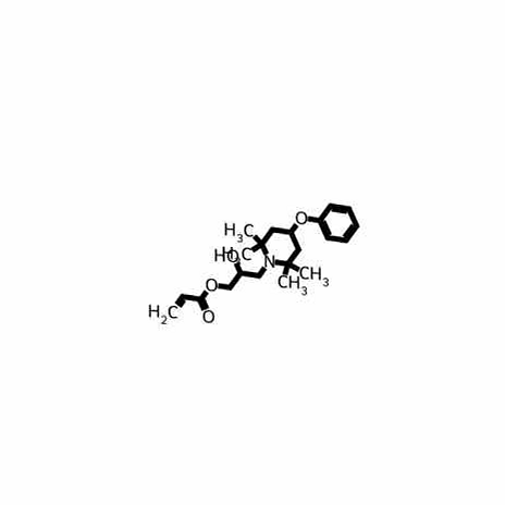 C=CC(=O)OCC(O)CN1C(C)(C)CC(Oc2ccccc2)CC1(C)C